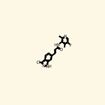 Cc1ncc(F)c(C)c1NC(=O)/C=C/c1ccc2c(Cl)n[nH]c2c1